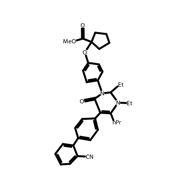 CCCC1=C(c2ccc(-c3ccccc3C#N)cc2)C(=O)N(c2ccc(OC3(C(=O)OC)CCCC3)cc2)C(CC)N1CC